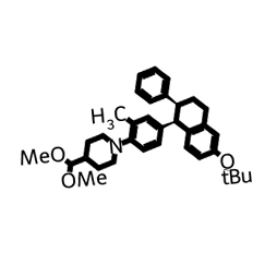 COC(OC)C1CCN(c2ccc([C@@H]3c4ccc(OC(C)(C)C)cc4CC[C@@H]3c3ccccc3)cc2C)CC1